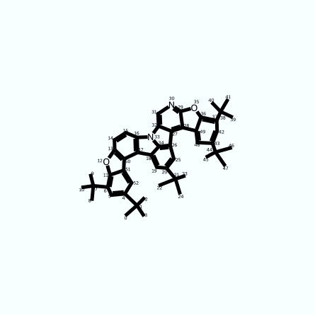 CC(C)(C)c1cc(C(C)(C)C)c2oc3ccc4c(c5cc(C(C)(C)C)cc6c7c8c(ncc7n4c56)oc4c(C(C)(C)C)cc(C(C)(C)C)cc48)c3c2c1